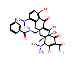 CN(C)c1ccc(O)c2c1C[C@@]1(CNC(=O)c3ccccc3)C[C@H]3[C@H](N(C)C)C(O)=C(C(N)=O)C(=O)[C@@]3(O)C(O)=C1C2=O